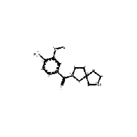 COc1cc(C(=O)N2CCC3(CCNC3)C2)ccc1N